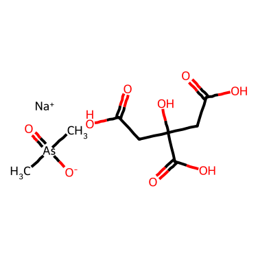 C[As](C)(=O)[O-].O=C(O)CC(O)(CC(=O)O)C(=O)O.[Na+]